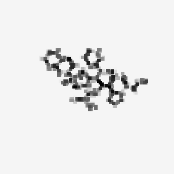 CC(C)(C)OC(=O)[C@@H]1CCCN1C(=O)C(O)[C@@H](C(=O)[C@H](CC(N)=O)NS(=O)(=O)c1ccc2ccccc2c1)C(N)c1ccccc1